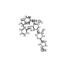 COc1cc(N2CCC(N3CCC(O)C3)CC2I)ccc1Nc1ncc2ccc(-c3ccccc3OC)n2n1